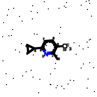 Cc1nc(C2CC2)ccc1C(F)(F)F